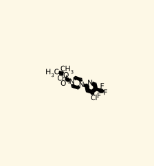 CC(C)(C)OC(=O)N1CCN(c2cc(Cl)c(C(F)(F)F)cn2)CC1